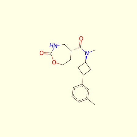 Cc1cccc([C@H]2C[C@H](N(C)C(=O)[C@@H]3CCOC(=O)NC3)C2)c1